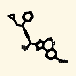 COc1ccc(-c2nc(C(N)C#C[C@@H](CC3CC3)c3ccccc3)sc2C)c(Cl)c1